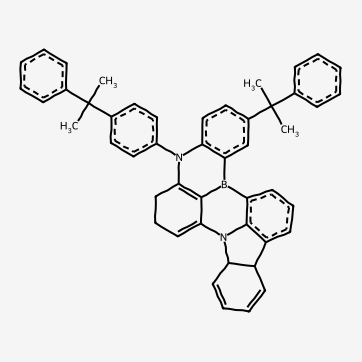 CC(C)(c1ccccc1)c1ccc(N2C3=C4B(c5cc(C(C)(C)c6ccccc6)ccc52)c2cccc5c2N(C4=CCC3)C2C=CC=CC52)cc1